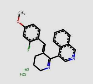 COc1ccc(/C=C2\CCCN=C2c2cncc3ccccc23)c(F)c1.Cl.Cl